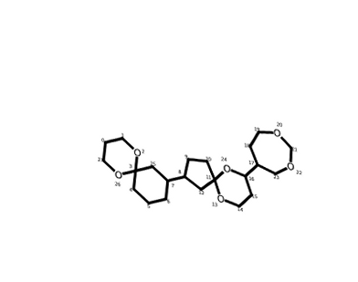 C1COC2(CCCC(C3CCC4(C3)OCCC(C3CCOCOC3)O4)C2)OC1